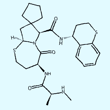 CN[C@@H](C)C(=O)N[C@H]1CCS[C@H]2CC3(CCCC3)[C@@H](C(=O)N[C@@H]3CCSc4ccccc43)N2C1=O